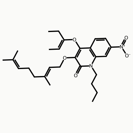 CC=C(CC)Oc1c(OC/C=C(\C)CCC=C(C)C)c(=O)n(CCCC)c2cc([N+](=O)[O-])ccc12